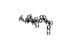 Cn1c(-c2cn(CC3CC(F)(F)C3)nc2C(F)(F)F)cnc1C(=O)Nc1ccc(C(=O)N2CCN(C(=O)C3CCNCC3)CC2)c(Cl)c1